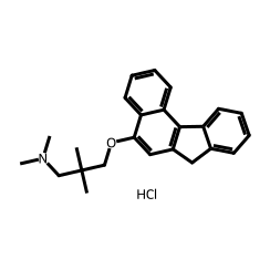 CN(C)CC(C)(C)COc1cc2c(c3ccccc13)-c1ccccc1C2.Cl